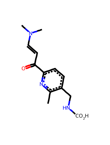 Cc1nc(C(=O)/C=C/N(C)C)ccc1CNC(=O)O